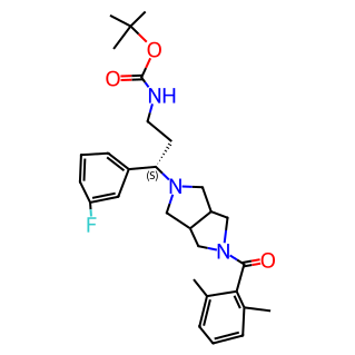 Cc1cccc(C)c1C(=O)N1CC2CN([C@@H](CCNC(=O)OC(C)(C)C)c3cccc(F)c3)CC2C1